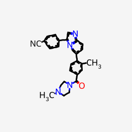 Cc1cc(C(=O)N2CCN(C)CC2)ccc1-c1ccc2ncc(-c3ccc(C#N)cc3)n2c1